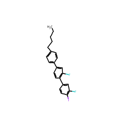 CCCCCc1ccc(-c2ccc(-c3ccc(I)c(F)c3)c(F)c2)cc1